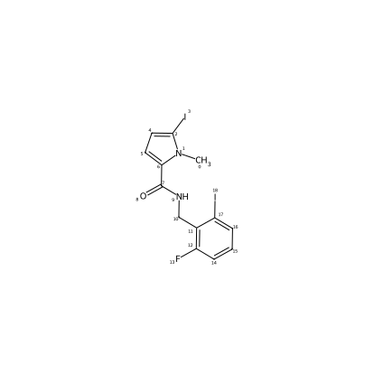 Cn1c(I)ccc1C(=O)NCc1c(F)cccc1I